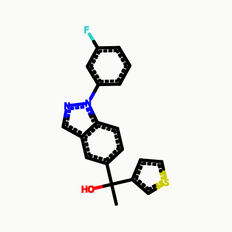 CC(O)(c1ccsc1)c1ccc2c(cnn2-c2cccc(F)c2)c1